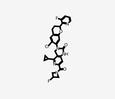 O=C(c1cc2c(c(C3CC3)n1)CN(c1cc3c(cc1Cl)CCC(c1ncccc1F)O3)C(=O)N2)N1CC(F)C1